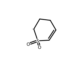 O=S1(=O)[CH]CCC=C1